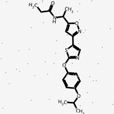 CCC(=O)NC(C)c1cc(-c2cnc(Oc3ccc(OC(C)C)cc3)s2)no1